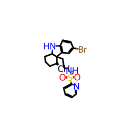 C=C1CCCC2Nc3ccc(Br)cc3C12CCNS(=O)(=O)c1ccccn1